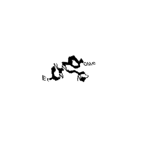 CCc1cnc(N(CCc2cs[c]n2)Cc2ccc(COC)cc2)nc1